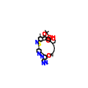 Cc1cc2nc3sc2c(c1[C@H](OC(C)(C)C)C(=O)O)-c1ccc2c(c1)C(CCCC[C@H](C)Oc1cc4c(cnn4C)nc1-c1cc-3ccn1)CCO2